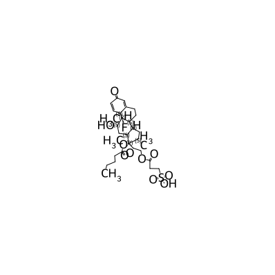 CCCCC(=O)O[C@]1(C(=O)COC(=O)CCS(=O)(=O)O)[C@@H](C)C[C@H]2[C@@H]3CCC4=CC(=O)C=C[C@]4(C)[C@@]3(F)[C@@H](O)C[C@@]21C